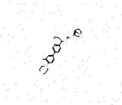 Cc1cc(-c2ccc3c(c2)OCCC3NC(=O)O[C@@H]2CN3CCC2CC3)ccc1N1CCOCC1